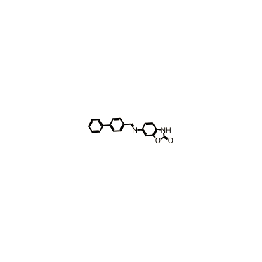 O=c1[nH]c2ccc(/N=C/c3ccc(-c4ccccc4)cc3)cc2o1